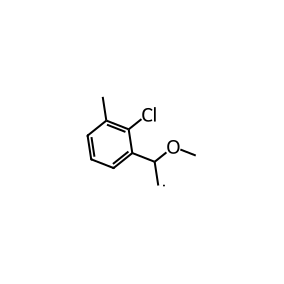 [CH2]C(OC)c1cccc(C)c1Cl